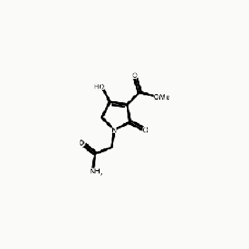 COC(=O)C1=C(O)CN(CC(N)=O)C1=O